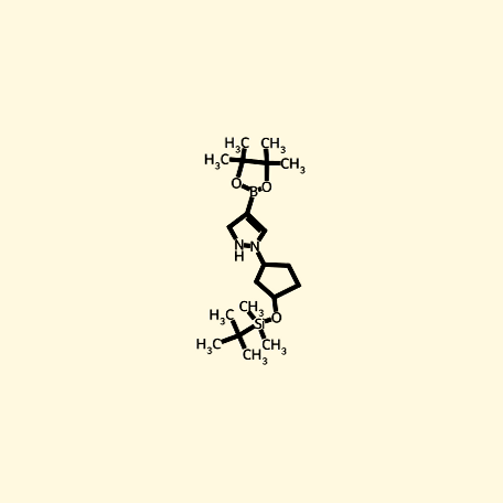 CC1(C)OB(C2=CN(C3CCC(O[Si](C)(C)C(C)(C)C)C3)NC2)OC1(C)C